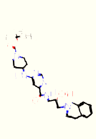 CC(C)(C)OC(=O)N1CCC(Nc2cc(C(=O)NC[C@H](O)CN3CCc4ccccc4C3)ncn2)CC1